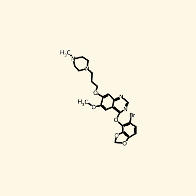 COc1cc2c(Oc3c(Br)ccc4c3OCO4)ncnc2cc1OCCCN1CCN(C)CC1